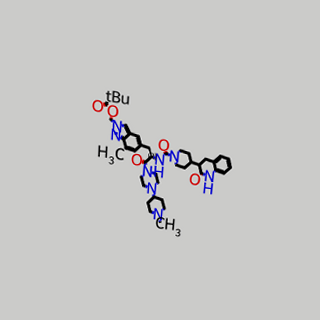 Cc1cc(C[C@@H](NC(=O)N2CCC(C3Cc4ccccc4NC3=O)CC2)C(=O)N2CCN(C3CCN(C)CC3)CC2)cc2cn(COC(=O)C(C)(C)C)nc12